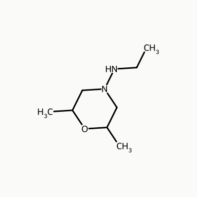 CCNN1CC(C)OC(C)C1